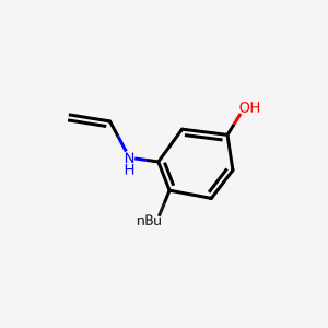 C=CNc1cc(O)ccc1CCCC